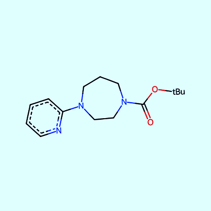 CC(C)(C)OC(=O)N1CCCN(c2ccccn2)CC1